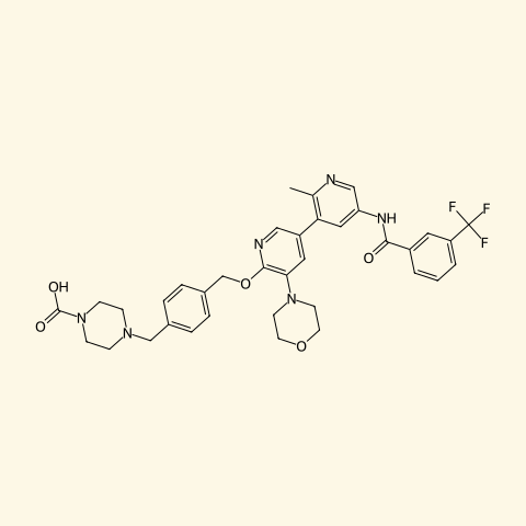 Cc1ncc(NC(=O)c2cccc(C(F)(F)F)c2)cc1-c1cnc(OCc2ccc(CN3CCN(C(=O)O)CC3)cc2)c(N2CCOCC2)c1